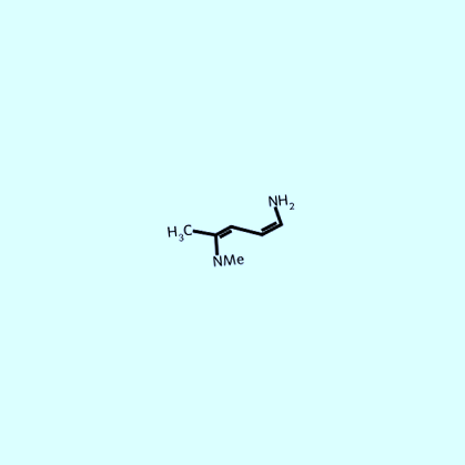 CN/C(C)=C\C=C/N